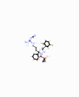 CN/C(=N/C#N)NCCCC1(c2ccccc2)SC(c2cc(F)ccc2F)=NN1C(=O)C1(O)CC1